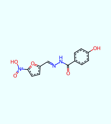 O=C(N/N=C/c1ccc([N+](=O)O)o1)c1ccc(O)cc1